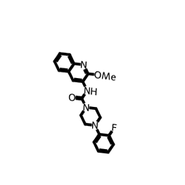 COc1nc2ccccc2cc1NC(=O)N1CCN(c2ccccc2F)CC1